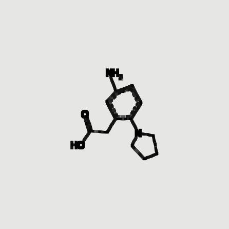 Nc1ccc(N2CCCC2)c(CC(=O)O)c1